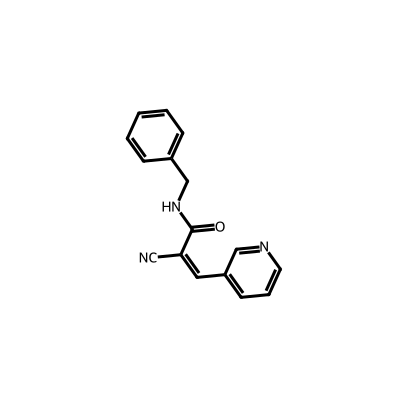 N#CC(=Cc1cccnc1)C(=O)NCc1ccccc1